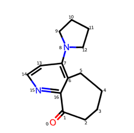 O=C1CCCCc2c(N3CCCC3)ccnc21